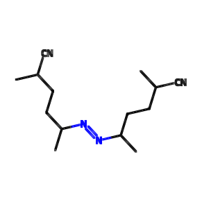 CC(C#N)CCC(C)N=NC(C)CCC(C)C#N